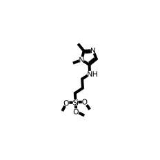 CO[Si](CCCNc1cnc(C)n1C)(OC)OC